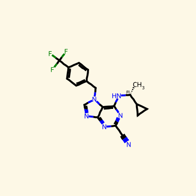 C[C@@H](Nc1nc(C#N)nc2ncn(Cc3ccc(C(F)(F)F)cc3)c12)C1CC1